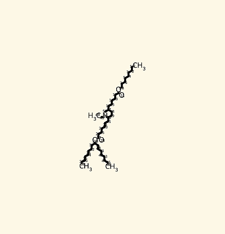 CCCCCCCCCOC(=O)CCCCCC1CCC(CCCCCCC(=O)OC(CCCCCCCC)CCCCCCCC)N(CC)C1